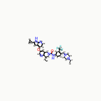 CC[C@@H]1CN(C(=O)Nc2ccc(CN3CCN(CC)CC3)c(C(F)(F)F)c2)Cc2cc(Oc3ccnc4[nH]c(C5CC5)cc34)cnc21